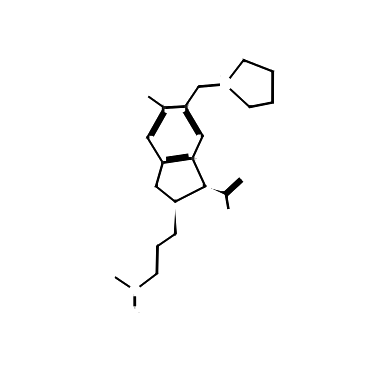 O=C(O)[C@@H]1c2cc(CN3CCCC3)c(F)cc2C[C@@H]1CCCB(O)O